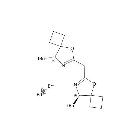 CC(C)(C)[C@H]1N=C(CC2=N[C@H](C(C)(C)C)C3(CCC3)O2)OC12CCC2.[Br-].[Br-].[Pd+2]